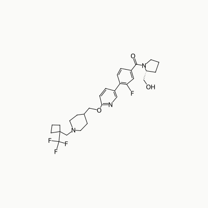 O=C(c1ccc(-c2ccc(OCC3CCN(CC4(C(F)(F)F)CCC4)CC3)nc2)c(F)c1)N1CCC[C@@H]1CO